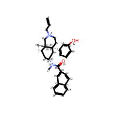 C=CCN1CC[C@@]2(c3cccc(O)c3)C[C@H](N(C)C(=O)c3ccc4ccccc4c3)CC[C@@H]2C1